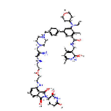 CCN(c1cc(-c2ccc(CN3CCN(C/C(N)=C/NCCOCCNc4cccc5c4C(=O)N(C4CCC(=O)NC4=O)C5=O)CC3)cc2)cc(C(=O)NCc2c(C)cc(C)[nH]c2=O)c1C)C1CCOCC1